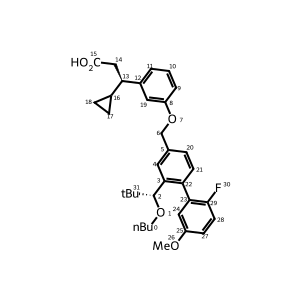 CCCCO[C@@H](c1cc(COc2cccc([C@H](CC(=O)O)C3CC3)c2)ccc1-c1cc(OC)ccc1F)C(C)(C)C